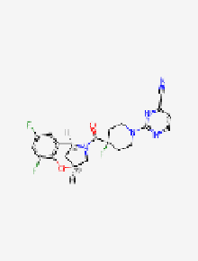 N#Cc1ccnc(N2CCC(F)(C(=O)N3C[C@@H]4C[C@H]3c3cc(F)cc(F)c3O4)CC2)n1